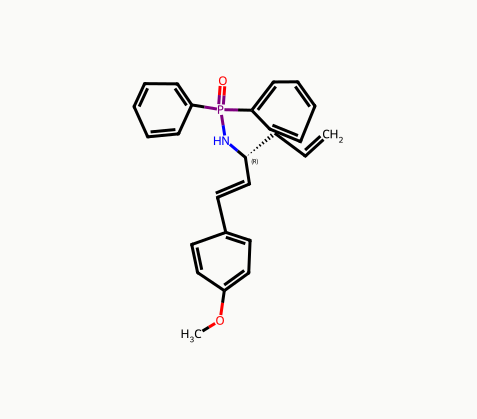 C=CC[C@H](C=Cc1ccc(OC)cc1)NP(=O)(c1ccccc1)c1ccccc1